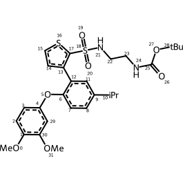 COc1ccc(Oc2ccc(C(C)C)cc2-c2ccsc2S(=O)(=O)NCCNC(=O)OC(C)(C)C)cc1OC